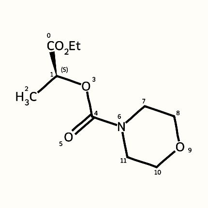 CCOC(=O)[C@H](C)OC(=O)N1CCOCC1